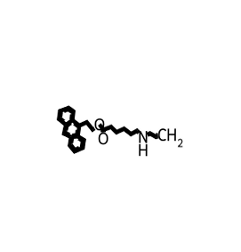 C=CCNCCCCCC(=O)OCCc1c2ccccc2cc2ccccc12